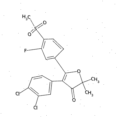 CC1(C)OC(c2ccc(S(C)(=O)=O)c(F)c2)=C(c2ccc(Cl)c(Cl)c2)C1=O